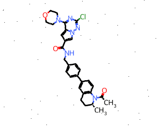 CC(=O)N1c2ccc(-c3ccc(CNC(=O)c4cc5c(N6CCOCC6)nc(Cl)nn5c4)cc3)cc2CC[C@@H]1C